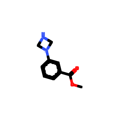 COC(=O)c1cccc(N2CNC2)c1